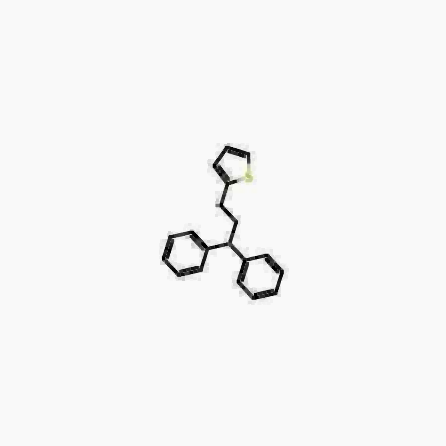 [CH](CC(c1ccccc1)c1ccccc1)c1cccs1